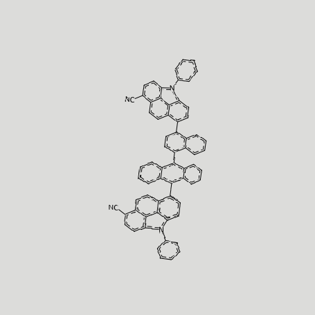 N#Cc1ccc2c3c1ccc1c(-c4ccc(-c5c6ccccc6c(-c6ccc7c8c6ccc6c(C#N)ccc(c68)n7-c6ccccc6)c6ccccc56)c5ccccc45)ccc(c13)n2-c1ccccc1